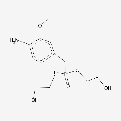 COc1cc(CP(=O)(OCCO)OCCO)ccc1N